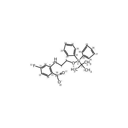 CC(C)(C)[Si](OCCNc1cc(F)ccc1[N+](=O)[O-])(c1ccccc1)c1ccccc1